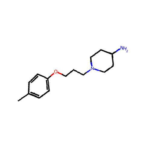 Cc1ccc(OCCCN2CCC(N)CC2)cc1